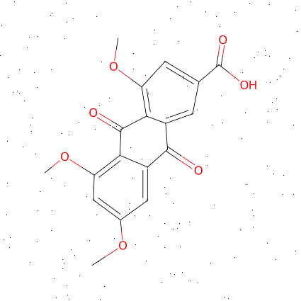 COc1cc(OC)c2c(c1)C(=O)c1cc(C(=O)O)cc(OC)c1C2=O